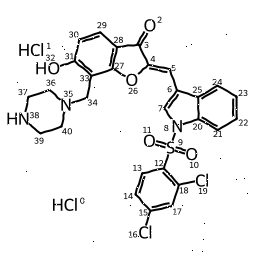 Cl.Cl.O=C1/C(=C/c2cn(S(=O)(=O)c3ccc(Cl)cc3Cl)c3ccccc23)Oc2c1ccc(O)c2CN1CCNCC1